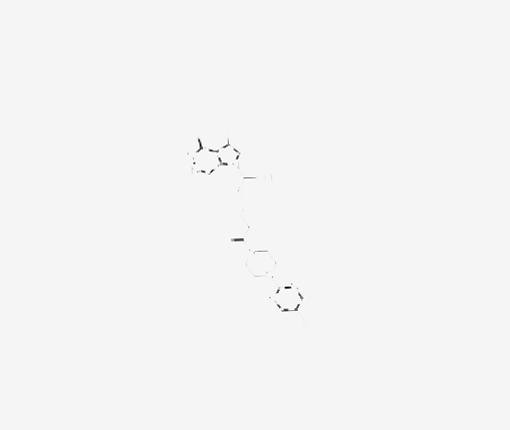 CC(COCCC(=O)N1CCN(c2ncc(F)cn2)CC1)n1cc(C(F)(F)F)c2c(=O)[nH]ncc21